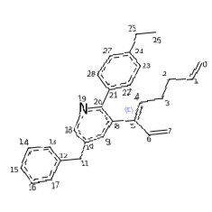 C=CCC/C=C(\C=C)c1cc(Cc2ccccc2)cnc1-c1ccc(CC)cc1